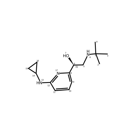 CC(C)(C)NC[C@H](O)c1cccc(NC2CC2)n1